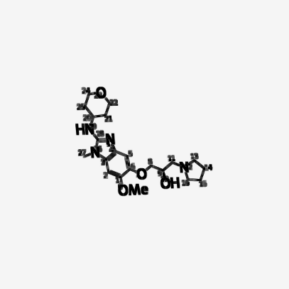 COc1cc2c(cc1OC[C@H](O)CN1CCCC1)nc(NC1CCOCC1)n2C